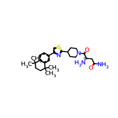 CC1(C)CCC(C)(C)c2cc(-c3csc(C4CCN(C(=O)[C@@H](N)CC(N)=O)CC4)n3)ccc21